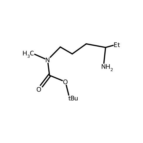 CCC(N)CCCN(C)C(=O)OC(C)(C)C